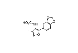 Cc1noc(-c2ccc3c(c2)OCO3)c1NC(=O)O